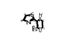 B1C=COC=C1C1=NCCS1.[Pd]